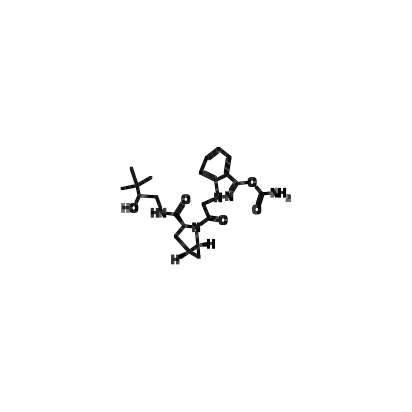 CC(C)(C)C(O)CNC(=O)[C@@H]1C[C@H]2C[C@H]2N1C(=O)Cn1nc(OC(N)=O)c2ccccc21